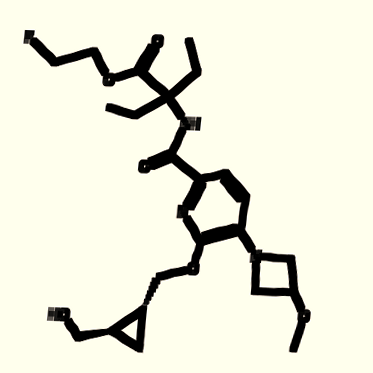 CCC(CC)(NC(=O)c1ccc(N2CC(OC)C2)c(OC[C@@H]2C[C@H]2CO)n1)C(=O)OCCF